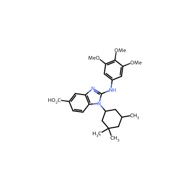 COc1cc(Nc2nc3cc(C(=O)O)ccc3n2C2CC(C)CC(C)(C)C2)cc(OC)c1OC